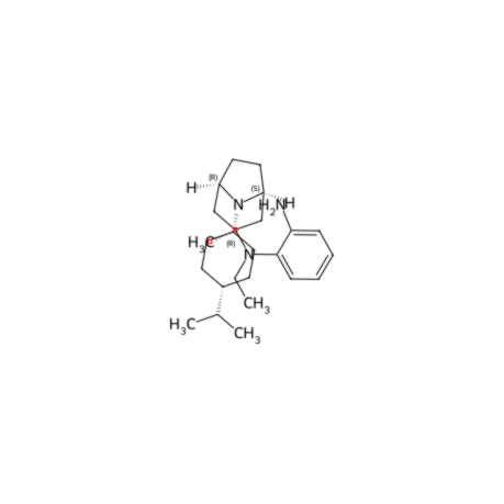 CCN(c1ccccc1N)[C@@]1(C)C[C@H]2CC[C@@H](C1)N2[C@H]1CC[C@@H](C(C)C)CC1